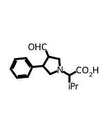 CC(C)C(C(=O)O)N1CC(C=O)C(c2ccccc2)C1